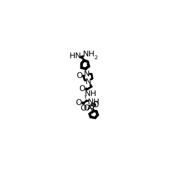 CC(=O)OC(=O)[C@H](CNC(=O)CN1CCN(c2ccc(C(=N)N)cc2)C(=O)C1)NS(=O)(=O)c1ccccc1